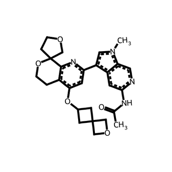 CC(=O)Nc1cc2c(-c3cc(OC4CC5(COC5)C4)c4c(n3)C3(CCOC3)OCC4)cn(C)c2cn1